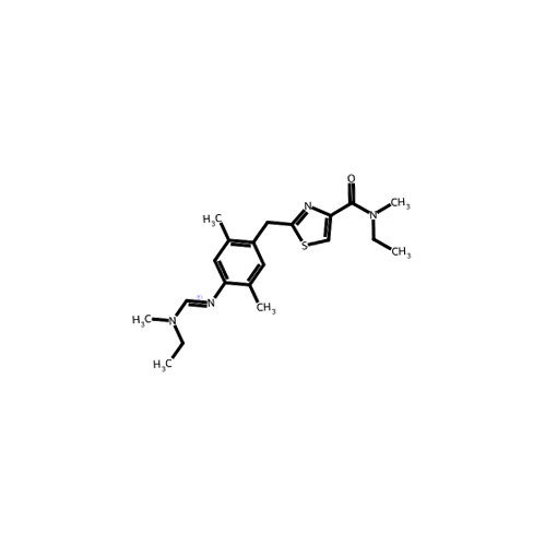 CCN(C)/C=N/c1cc(C)c(Cc2nc(C(=O)N(C)CC)cs2)cc1C